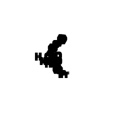 CC(C)c1ccc(NC(=O)C2=C(O)C(C)(Cc3ccc(OCc4ccccc4)cc3)NC2=O)cc1